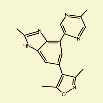 Cc1cnc(-c2cc(-c3c(C)noc3C)cc3[nH]c(C)nc23)cn1